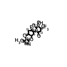 Cn1nnc(Oc2cc(-n3c(=O)cc(C(F)(F)F)n(C)c3=O)c(F)cc2Cl)n1